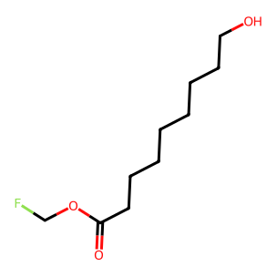 O=C(CCCCCCCCO)OCF